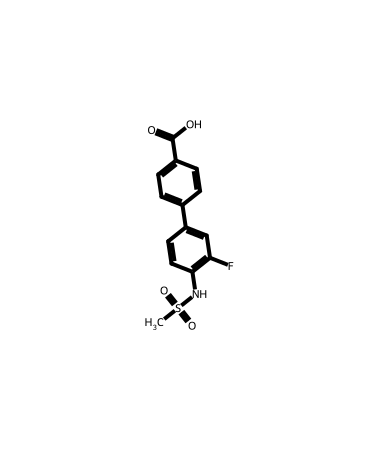 CS(=O)(=O)Nc1ccc(-c2ccc(C(=O)O)cc2)cc1F